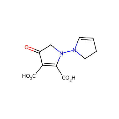 O=C(O)C1=C(C(=O)O)N(N2C=CCC2)CC1=O